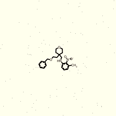 Cc1cccc(NCC2(CCOCc3ccccc3)CCOCC2)c1[N+](=O)[O-]